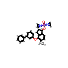 O=[N+]([O-])c1ccc2c(c1Oc1cccc(-c3ccccc3)c1)CCC2OP(=O)(N1CC1)N1CC1